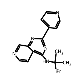 CC(C)C(C)(C)Nc1nc(-c2ccncc2)nc2cnccc12